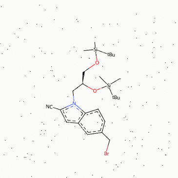 CC(C)(C)[Si](C)(C)OC[C@H](Cn1c(C#N)cc2cc(CBr)ccc21)O[Si](C)(C)C(C)(C)C